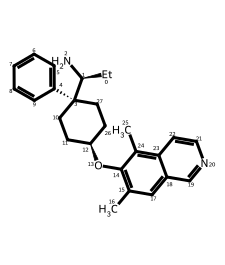 CC[C@H](N)[C@]1(c2ccccc2)CC[C@H](Oc2c(C)cc3cnccc3c2C)CC1